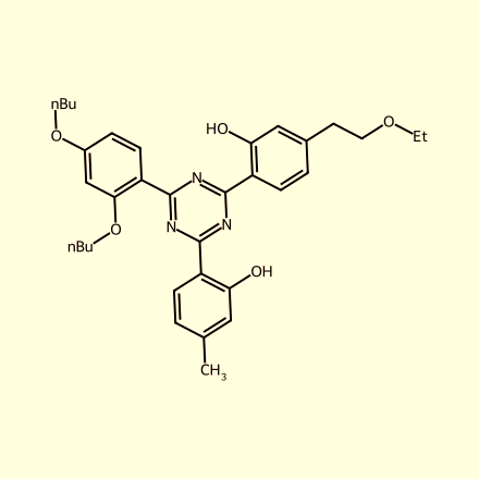 CCCCOc1ccc(-c2nc(-c3ccc(C)cc3O)nc(-c3ccc(CCOCC)cc3O)n2)c(OCCCC)c1